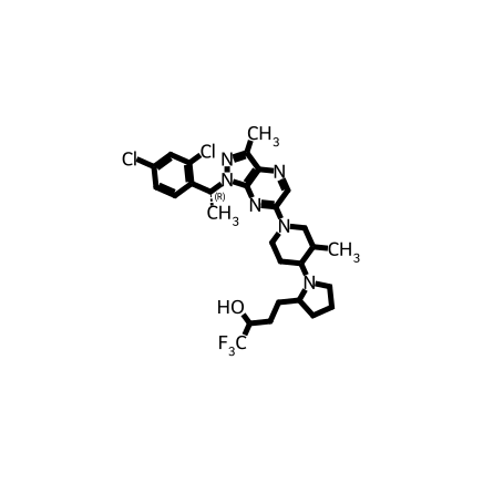 Cc1nn([C@H](C)c2ccc(Cl)cc2Cl)c2nc(N3CCC(N4CCCC4CCC(O)C(F)(F)F)C(C)C3)cnc12